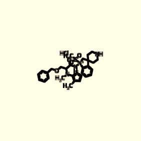 Cc1ccsc1N(C)C(COCc1ccccc1)C(=O)N[N+]1(S(C)(=O)=O)CC2(CCNCC2)c2ccccc21.Cl